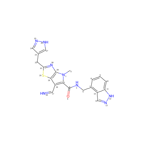 Cn1c(C(=O)NCc2cccc3[nH]ncc23)c(C=N)c2sc(Cc3cn[nH]c3)nc21